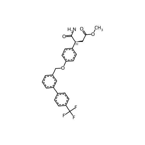 COC(=O)C[C@H](C(N)=O)c1ccc(OCc2cccc(-c3ccc(C(F)(F)F)cc3)c2)cc1